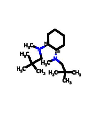 CN(CC(C)(C)C)[C@H]1CCCC[C@@H]1N(C)CC(C)(C)C